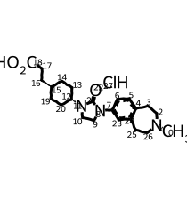 CN1CCc2ccc(N3CCN([C@H]4CC[C@H](CCC(=O)O)CC4)C3=O)cc2CC1.Cl